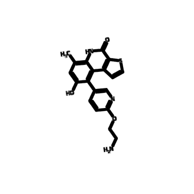 Cc1cc(O)c(-c2ccc(OCCN)nc2)c2c1[nH]c(=O)c1sccc12